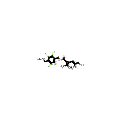 COCc1c(F)c(F)c(COC(=O)C2C(/C=C(\C)CO)C2(C)C)c(F)c1F